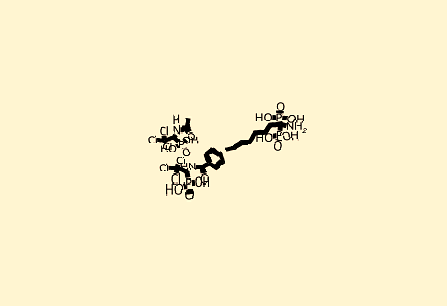 CC(=O)NC(C(Cl)(Cl)Cl)P(=O)(O)O.CCCCCCCC(N)(P(=O)(O)O)P(=O)(O)O.O=C(NC(C(Cl)(Cl)Cl)P(=O)(O)O)c1ccccc1